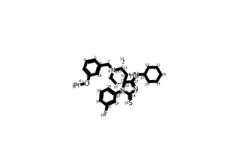 CC(C)Oc1cccc(CN2CC[C@]3(C[C@H]2C)C(NC2CCCCC2)=NC(=S)N3c2cccc(F)c2)c1